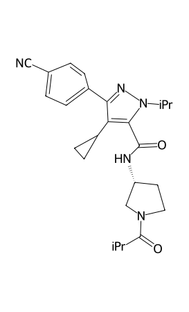 CC(C)C(=O)N1CC[C@@H](NC(=O)c2c(C3CC3)c(-c3ccc(C#N)cc3)nn2C(C)C)C1